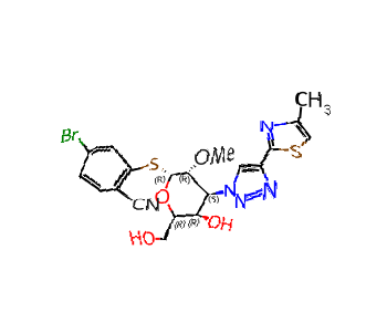 CO[C@@H]1[C@@H](n2cc(-c3nc(C)cs3)nn2)[C@@H](O)[C@@H](CO)O[C@@H]1Sc1cc(Br)ccc1C#N